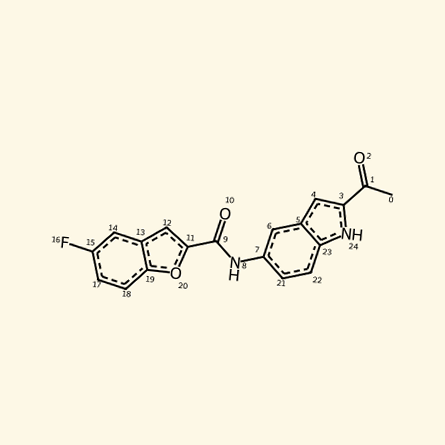 CC(=O)c1cc2cc(NC(=O)c3cc4cc(F)ccc4o3)ccc2[nH]1